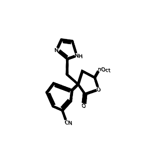 CCCCCCCCC1CC(Cc2ncc[nH]2)(c2cccc(C#N)c2)C(=O)O1